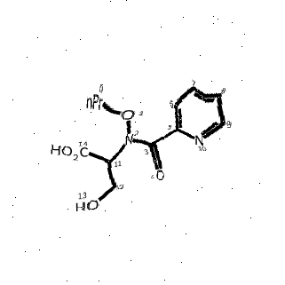 CCCON(C(=O)c1ccccn1)C(CO)C(=O)O